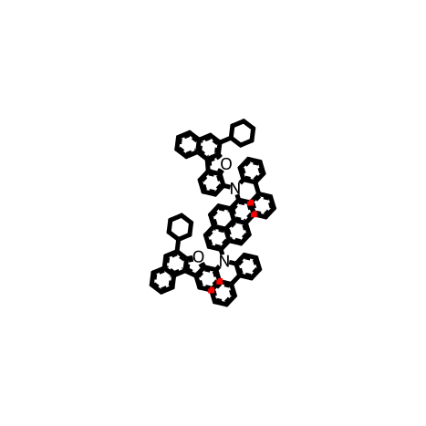 c1ccc(-c2ccccc2N(c2ccc3ccc4c(N(c5ccccc5-c5ccccc5)c5cccc6c5oc5c(C7CCCCC7)cc7ccccc7c56)ccc5ccc2c3c54)c2cccc3c2oc2c(C4CCCCC4)cc4ccccc4c23)cc1